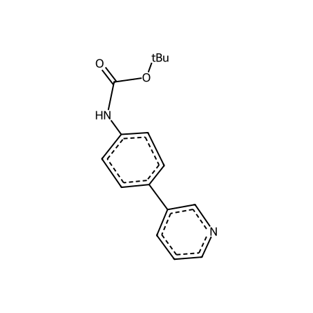 CC(C)(C)OC(=O)Nc1ccc(-c2cccnc2)cc1